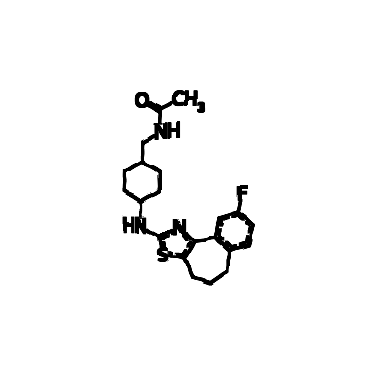 CC(=O)NCC1CCC(Nc2nc3c(s2)CCCc2ccc(F)cc2-3)CC1